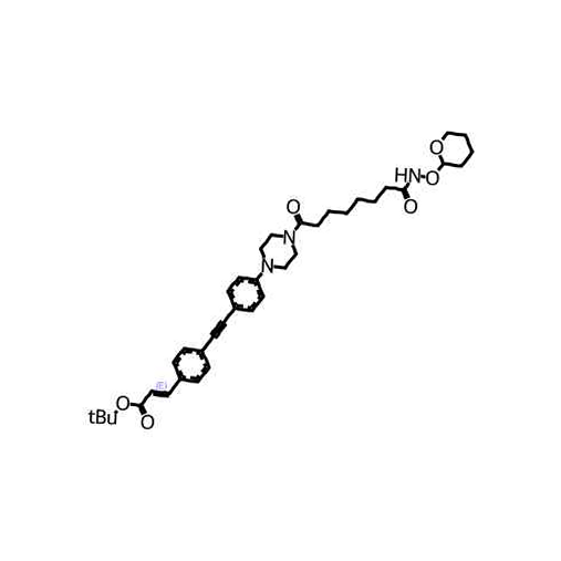 CC(C)(C)OC(=O)/C=C/c1ccc(C#Cc2ccc(N3CCN(C(=O)CCCCCCC(=O)NOC4CCCCO4)CC3)cc2)cc1